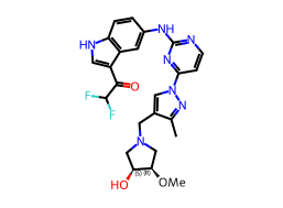 CO[C@@H]1CN(Cc2cn(-c3ccnc(Nc4ccc5[nH]cc(C(=O)C(F)F)c5c4)n3)nc2C)C[C@@H]1O